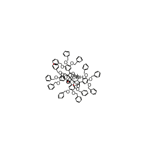 O=C[C@@](O)(C(=O)c1cc(OCc2ccccc2)c(OCc2ccccc2)c(OCc2ccccc2)c1)[C@](O)(C(=O)c1cc(OCc2ccccc2)c(OCc2ccccc2)c(OCc2ccccc2)c1)[C@@](O)(C(=O)c1cc(OCc2ccccc2)c(OCc2ccccc2)c(OCc2ccccc2)c1)[C@H](O)C(O)C(=O)c1cc(OCc2ccccc2)c(OCc2ccccc2)c(OCc2ccccc2)c1